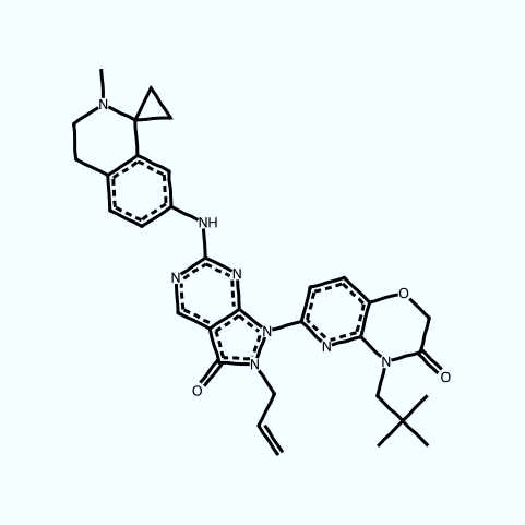 C=CCn1c(=O)c2cnc(Nc3ccc4c(c3)C3(CC3)N(C)CC4)nc2n1-c1ccc2c(n1)N(CC(C)(C)C)C(=O)CO2